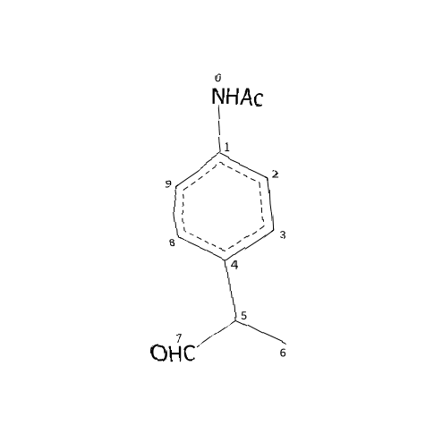 CC(=O)Nc1ccc(C(C)C=O)cc1